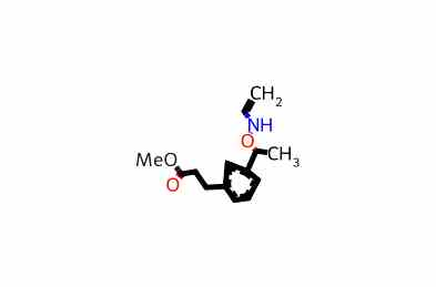 C=CNOC(C)c1cccc(CCC(=O)OC)c1